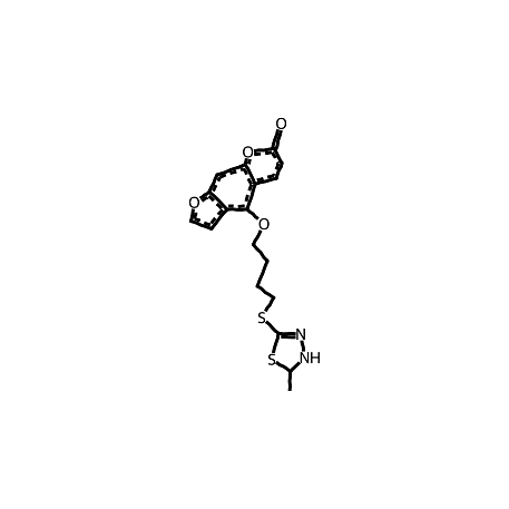 CC1NN=C(SCCCCOc2c3ccoc3cc3oc(=O)ccc23)S1